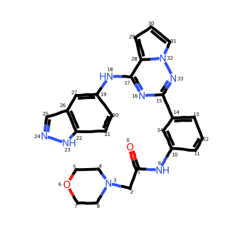 O=C(CN1CCOCC1)Nc1cccc(-c2nc(Nc3ccc4[nH]ncc4c3)c3cccn3n2)c1